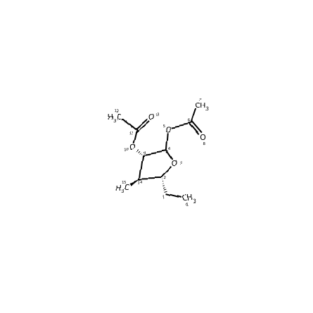 CC[C@H]1OC(OC(C)=O)[C@@H](OC(C)=O)[C@@H]1C